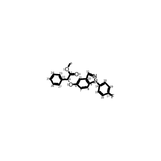 COC(=O)[C@H](Oc1ccc2c(cnn2-c2ccc(F)cc2)c1)c1ccccc1